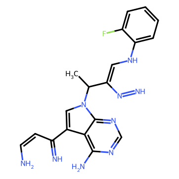 CC(/C(=C/Nc1ccccc1F)N=N)n1cc(C(=N)/C=C\N)c2c(N)ncnc21